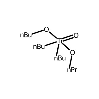 CCCC[O][Ti](=[O])([CH2]CCC)([CH2]CCC)[O]CCC